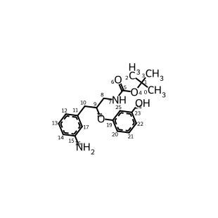 CC(C)(C)OC(=O)NCC(Cc1cccc(N)c1)Oc1cccc(O)c1